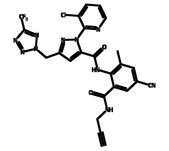 C#CCNC(=O)c1cc(C#N)cc(C)c1NC(=O)c1cc(Cn2nnc(C(F)(F)F)n2)nn1-c1ncccc1Cl